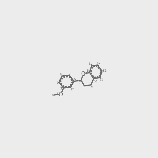 COc1cccc(C2CCc3ccccc3O2)c1